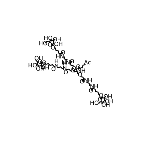 CC(=O)CCCC(=O)NC(COCCC(=O)NCCCNC(=O)CCCCO[C@@H]1OC(CO)[C@@H](O)C(O)C1O)(COCCC(=O)NCCCNC(=O)CCCCO[C@@H]1OC(CO)[C@@H](O)C(O)C1O)COCCC(=O)NCCCNC(=O)CCCCO[C@@H]1OC(CO)[C@@H](O)C(O)C1O